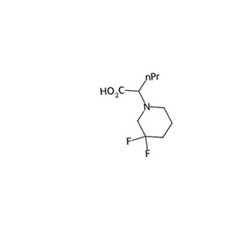 CCCC(C(=O)O)N1CCCC(F)(F)C1